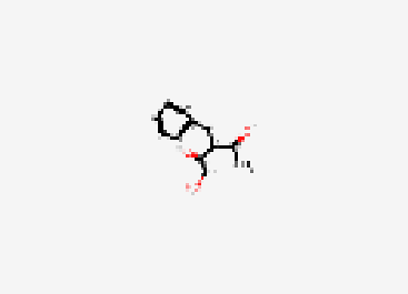 CC(=O)C(Cc1ccccc1)C(=O)CO